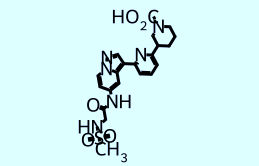 CS(=O)(=O)NCC(=O)Nc1ccn2ncc(-c3cccc(C4CCCN(C(=O)O)C4)n3)c2c1